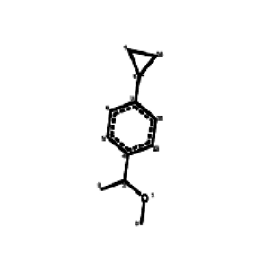 COC(C)c1ccc([C]2CC2)cc1